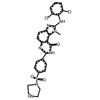 Cn1c(Nc2c(Cl)cccc2Cl)nc2ccc3nc(-c4ccc(S(=O)(=O)N5CCNCC5)cc4)[nH]c(=O)c3c21